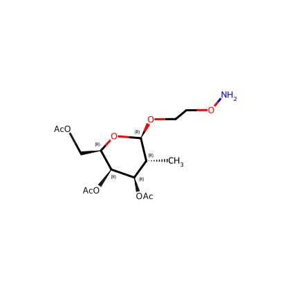 CC(=O)OC[C@H]1O[C@@H](OCCON)[C@H](C)[C@@H](OC(C)=O)[C@H]1OC(C)=O